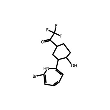 O=C(C1CCC(O)C(C2=CC=CC=C(Br)N2)C1)C(F)(F)F